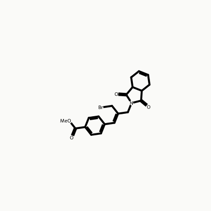 COC(=O)c1ccc(/C=C(\CBr)CN2C(=O)C3CC=CCC3C2=O)cc1